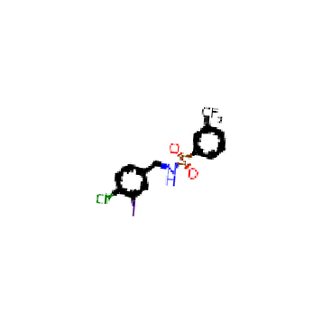 O=S(=O)(NCc1ccc(Cl)c(I)c1)c1cccc(C(F)(F)F)c1